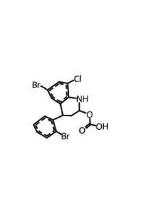 O=C(O)OC1CC(c2ccccc2Br)c2cc(Br)cc(Cl)c2N1